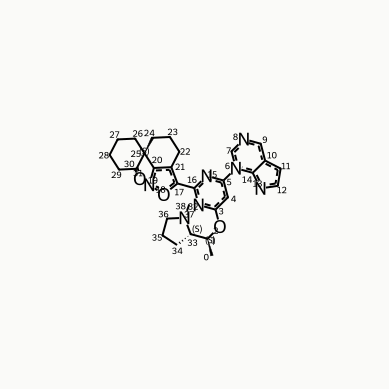 C[C@H](Oc1cc(-n2cncc3ccnc2-3)nc(-c2onc3c2CCC[C@@]32CCCCC2=O)n1)[C@@H]1CCCN1C